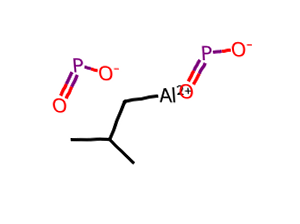 CC(C)[CH2][Al+2].O=P[O-].O=P[O-]